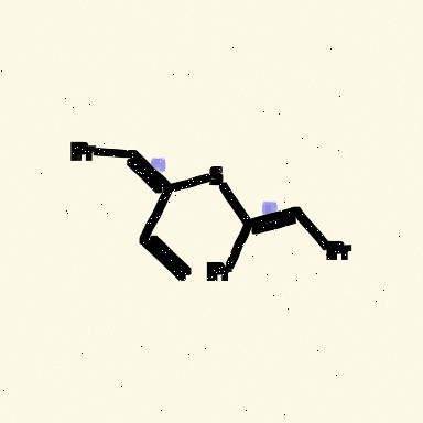 C=C/C(=C\C(C)C)S/C(=C/C(C)C)C(C)C